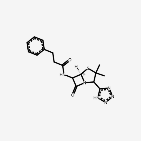 CC1(C)S[C@@H]2C(NC(=O)CCc3ccccc3)C(=O)N2C1c1nnn[nH]1